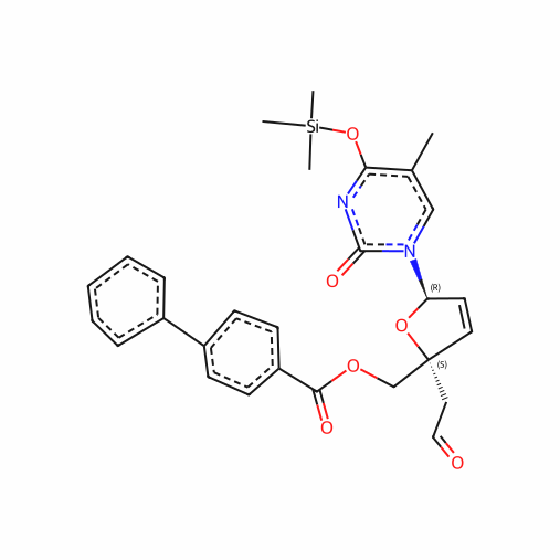 Cc1cn([C@H]2C=C[C@@](CC=O)(COC(=O)c3ccc(-c4ccccc4)cc3)O2)c(=O)nc1O[Si](C)(C)C